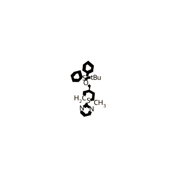 C=C[C@@H](CO[Si](c1ccccc1)(c1ccccc1)C(C)(C)C)C[C@@H](C)Sc1ncccn1